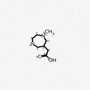 CN1CC[N]CC(CC(=O)O)C1